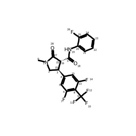 CN1C[C@H](c2cc(F)c(C(F)(F)F)c(F)c2)[C@@H](C(=O)Nc2ccccc2F)C1=O